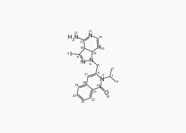 CC(C)n1c(CN2N=C(I)C3C(N)=NC=NC32)cc2ccccc2c1=O